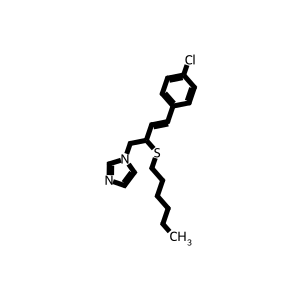 CCCCCCSC(C=Cc1ccc(Cl)cc1)Cn1ccnc1